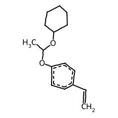 C=Cc1ccc(OC(C)OC2CCCCC2)cc1